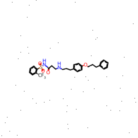 O=C(CCNCCCc1ccc(OCCCc2ccccc2)cc1)NS(=O)(=O)c1ccccc1C(F)(F)F